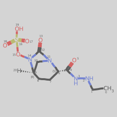 CCNNC(=O)[C@@H]1CC[C@@H]2CN1C(=O)N2OS(=O)(=O)O